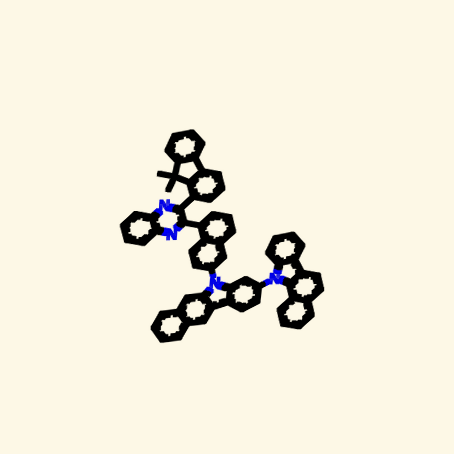 CC1(C)c2ccccc2-c2cccc(-c3nc4ccccc4nc3-c3cccc4cc(-n5c6cc(-n7c8ccccc8c8ccc9ccccc9c87)ccc6c6cc7ccccc7cc65)ccc34)c21